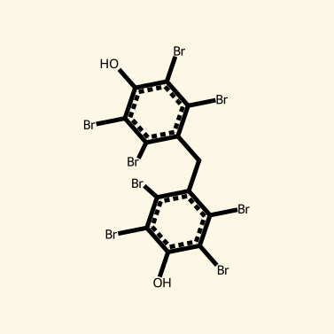 Oc1c(Br)c(Br)c(Cc2c(Br)c(Br)c(O)c(Br)c2Br)c(Br)c1Br